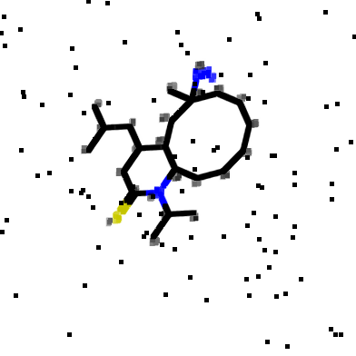 CC(C)CC1CC(=S)N(C(C)C)C2CCCCCCC(C)(N)CC12